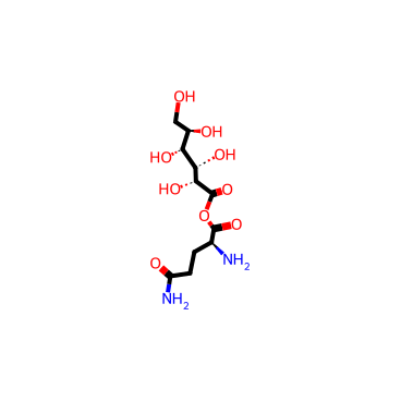 NC(=O)CC[C@H](N)C(=O)OC(=O)[C@H](O)[C@@H](O)[C@H](O)[C@H](O)CO